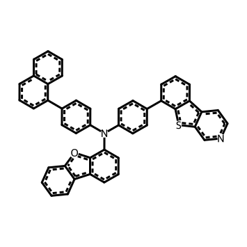 c1ccc2c(-c3ccc(N(c4ccc(-c5cccc6c5sc5cnccc56)cc4)c4cccc5c4oc4ccccc45)cc3)cccc2c1